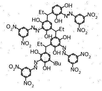 CCC(C)c1cc(C(CC)c2cc(C(CC)c3cc(C(CC)c4ccc(O)c(N=Nc5cc([N+](=O)[O-])cc([N+](=O)[O-])c5)c4O)c(O)c(N=Nc4cc([N+](=O)[O-])cc([N+](=O)[O-])c4)c3O)c(O)c(N=Nc3cc([N+](=O)[O-])cc([N+](=O)[O-])c3)c2O)c(O)c(N=Nc2cc([N+](=O)[O-])cc([N+](=O)[O-])c2)c1O